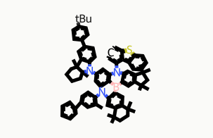 Cc1cc(-c2ccccc2)ccc1N1c2cc3c(cc2B2c4cc5c(cc4N(c4cccc6sc7ccccc7c46)c4cc(N6c7ccc(-c8ccc(C(C)(C)C)cc8)cc7C7(C)CCCCC67C)cc1c42)C(C)(C)CC5(C)C)C(C)(C)CCC3(C)C